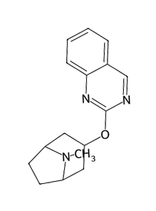 CN1C2CCC1CC(Oc1ncc3ccccc3n1)C2